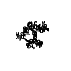 C=C[C@@H]1C[C@]1(NC(=O)[C@@H]1C[C@@H]2CN1C(=O)[C@H](C1CCCCC1)NC(=O)OCC(C)(C)CCCc1cc3c(cc(OS(=O)(=O)C(F)(F)F)nc3cc1OC)O2)C(=O)NS(=O)(=O)C1CC1